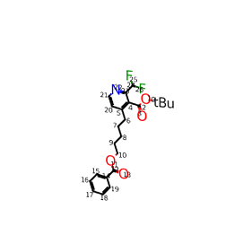 CC(C)(C)OC(=O)c1c(CCCCCOC(=O)c2ccccc2)ccnc1C(F)F